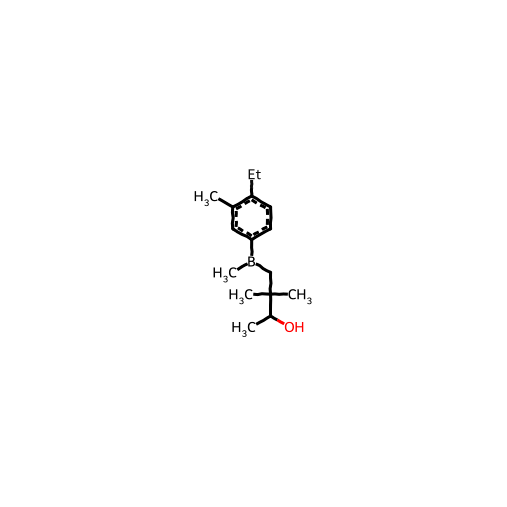 CCc1ccc(B(C)CC(C)(C)C(C)O)cc1C